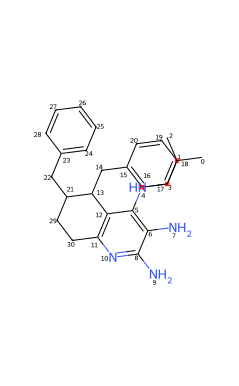 CC(C)CNc1c(N)c(N)nc2c1C(Cc1ccccc1)C(Cc1ccccc1)CC2